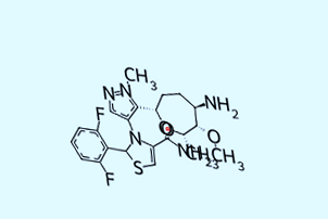 CO[C@H]1[C@H](N)CC[C@@H](c2c(N3C(C(N)=O)=CSC3c3c(F)cccc3F)cnn2C)O[C@H]1C